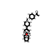 CC(=O)[C@H]1CC[C@H](CN2CCC(c3cnc(N4C5CCC4CN(C)C5)nc3)CC2)CC1